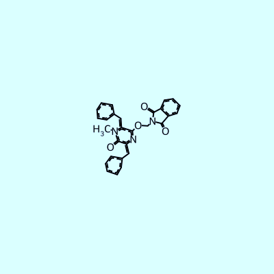 Cn1c(=Cc2ccccc2)c(OCN2C(=O)c3ccccc3C2=O)nc(=Cc2ccccc2)c1=O